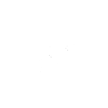 CC(C)C(=O)N1CCN(C(C)Cl)CC1